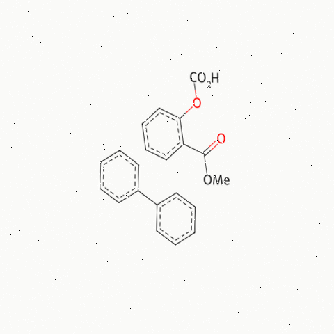 COC(=O)c1ccccc1OC(=O)O.c1ccc(-c2ccccc2)cc1